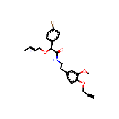 C#CCOc1ccc(CCNC(=O)C(OC/C=C/C)c2ccc(Br)cc2)cc1OC